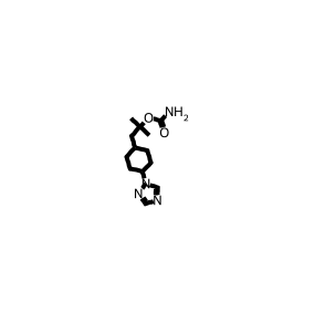 CC(C)(CC1CCC(n2cncn2)CC1)OC(N)=O